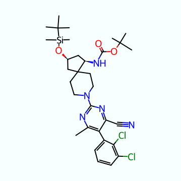 Cc1nc(N2CCC3(CC2)C[C@@H](O[Si](C)(C)C(C)(C)C)C[C@H]3NC(=O)OC(C)(C)C)nc(C#N)c1-c1cccc(Cl)c1Cl